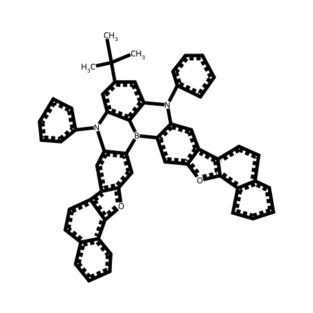 CC(C)(C)c1cc2c3c(c1)N(c1ccccc1)c1cc4c(cc1B3c1cc3oc5c6ccccc6ccc5c3cc1N2c1ccccc1)oc1c2ccccc2ccc41